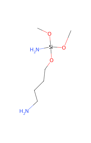 CO[Si](N)(OC)OCCCCN